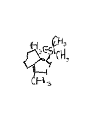 C/C(I)=C1\CCCC\C1=C(\I)[Si](C)(C)C